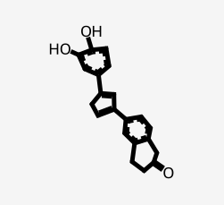 O=C1CCc2cc(C3=CCC(c4ccc(O)c(O)c4)=C3)ccc2C1